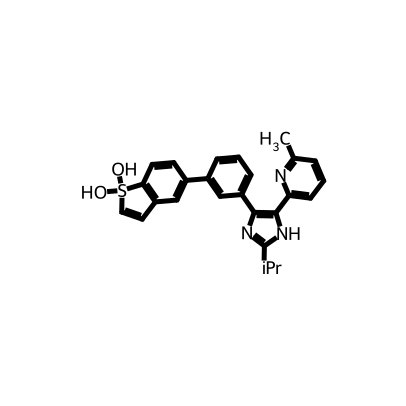 Cc1cccc(-c2[nH]c(C(C)C)nc2-c2cccc(-c3ccc4c(c3)C=CS4(O)O)c2)n1